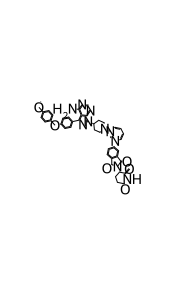 COc1ccc(Oc2ccc(-c3nn(C4CCN(N5C=CC=CN(c6ccc7c(c6)C(=O)N(C6CCC(=O)NC6=O)C7=O)C5)CC4)c4ncnc(N)c34)cc2)cc1